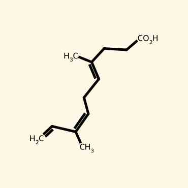 C=CC(C)=CCC=C(C)CCC(=O)O